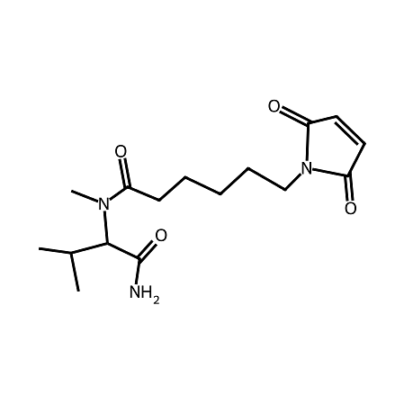 CC(C)C(C(N)=O)N(C)C(=O)CCCCCN1C(=O)C=CC1=O